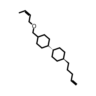 C=CCCC[C@H]1CC[C@H](C2CCC(COC/C=C\C)CC2)CC1